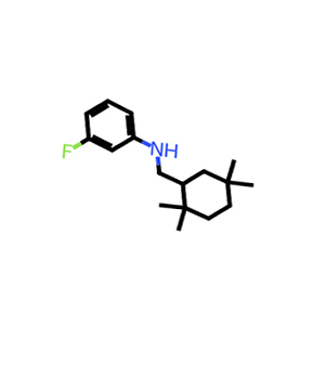 CC1(C)CCC(C)(C)C(CNc2cccc(F)c2)C1